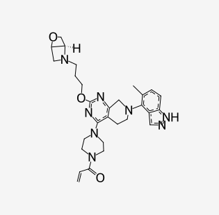 C=CC(=O)N1CCN(c2nc(OCCCN3CC4OC[C@H]43)nc3c2CCN(c2c(C)ccc4[nH]ncc24)C3)CC1